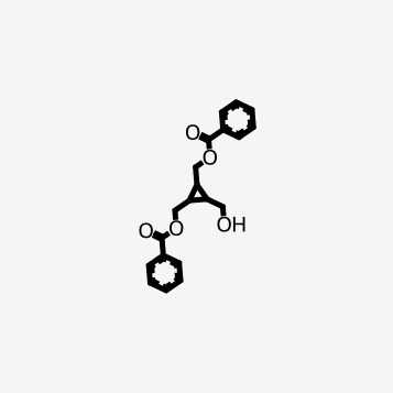 O=C(OCC1C(CO)C1COC(=O)c1ccccc1)c1ccccc1